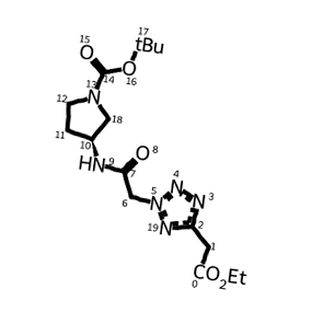 CCOC(=O)Cc1nnn(CC(=O)N[C@H]2CCN(C(=O)OC(C)(C)C)C2)n1